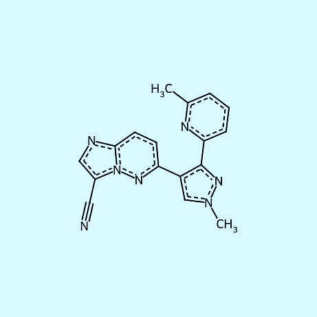 Cc1cccc(-c2nn(C)cc2-c2ccc3ncc(C#N)n3n2)n1